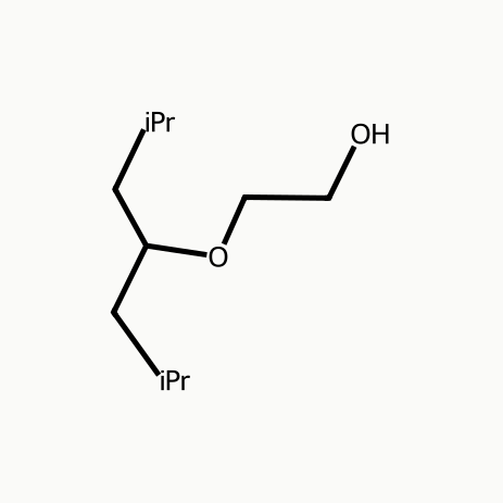 CC(C)CC(CC(C)C)OCCO